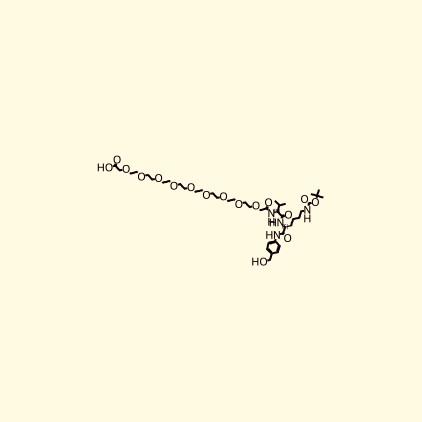 CC(C)[C@H](NC(=O)COCCOCCOCCOCCOCCOCCOCCOCCOCC(=O)O)C(=O)N[C@@H](CCCCNC(=O)OC(C)(C)C)C(=O)Nc1ccc(CO)cc1